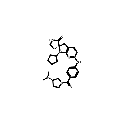 CN(C)[C@@H]1CCN(C(=O)c2ccc(Nc3ncc4c(n3)N(C3CCCC3)[C@]3(CCNC3=O)C4)cc2)C1